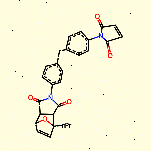 CCCC12C=CC(O1)C1C(=O)N(c3ccc(Cc4ccc(N5C(=O)C=CC5=O)cc4)cc3)C(=O)C12